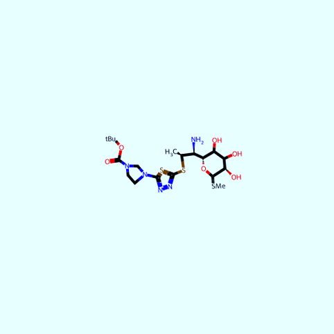 CSC1O[C@H]([C@H](N)[C@H](C)Sc2nnc(N3CCN(C(=O)OC(C)(C)C)C3)s2)C(O)C(O)[C@H]1O